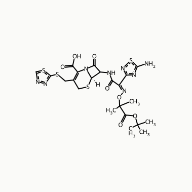 CC(C)(C)OC(=O)C(C)(C)O/N=C(\C(=O)NC1C(=O)N2C(C(=O)O)=C(CSc3nncs3)CS[C@H]12)c1nsc(N)n1